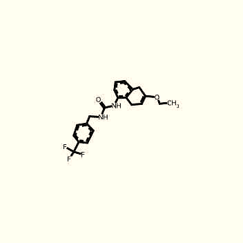 CCOC1=CCc2c(cccc2NC(=O)NCc2ccc(C(F)(F)F)cc2)C1